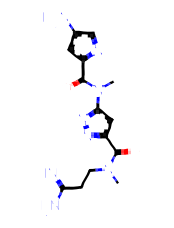 CN(CCC(=N)N)C(=O)c1cc(N(C)C(=O)c2cc(N)c[nH]2)n[nH]1